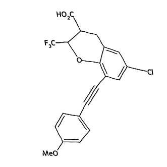 COc1ccc(C#Cc2cc(Cl)cc3c2OC(C(F)(F)F)C(C(=O)O)C3)cc1